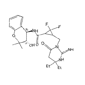 CCC1(CC)CC(=O)N(CC2C(C(=O)N[C@@H]3c4ccccc4OC(C)(C)[C@H]3O)C2(F)F)C(=N)N1